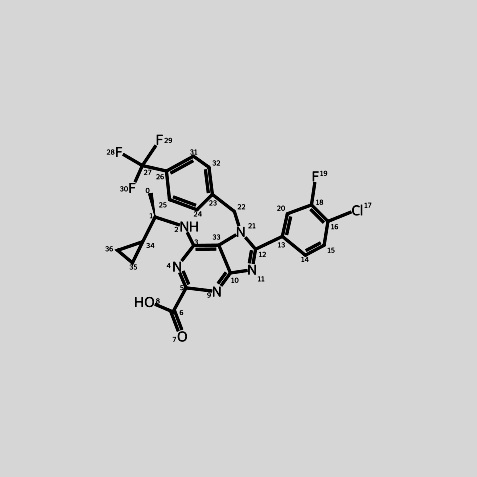 C[C@@H](Nc1nc(C(=O)O)nc2nc(-c3ccc(Cl)c(F)c3)n(Cc3ccc(C(F)(F)F)cc3)c12)C1CC1